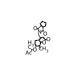 CC(=O)C(C)Oc1ccc2c(CN3C(=O)c4ccccc4C3=O)cc(=O)oc2c1C